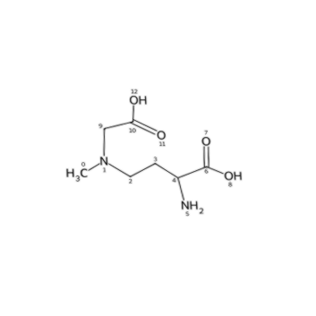 CN(CCC(N)C(=O)O)CC(=O)O